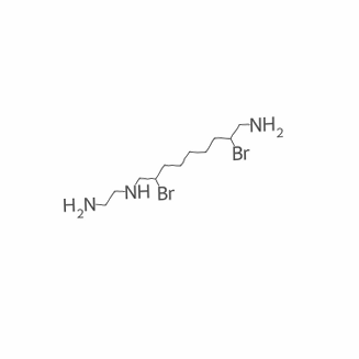 NCCNCC(Br)CCCCCC(Br)CN